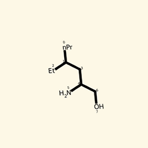 CCCC(CC)CC(N)CO